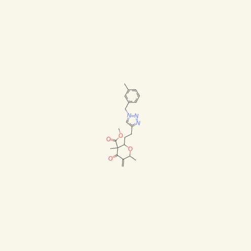 C=C1C(=O)C(C)(C(=O)OC)C(CCc2cn(Cc3cccc(C)c3)nn2)OC1C